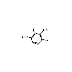 Cc1ccc(O)c(C)c1N